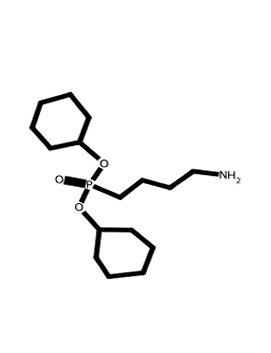 NCCCCP(=O)(OC1CCCCC1)OC1CCCCC1